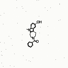 Cn1c2c(c3cc(O)ccc31)CCN(C(=O)c1ccccc1)CC2